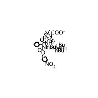 CC1(C)S[C@@H]2[C@H](NC(=O)C(NC(=O)OCc3ccc([N+](=O)[O-])cc3)c3ccccc3)C(=O)N2[C@H]1C(=O)[O-].CCCC[N+](CCCC)(CCCC)CCCC